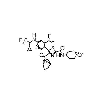 O=C(NC1CC[S+]([O-])CC1)c1nc(C(=O)N2C3CCC2CC3)c(-c2cnc(NC(C3CC3)C(F)(F)F)cc2C(F)F)s1